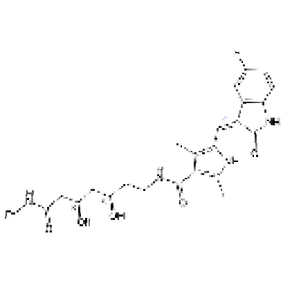 CCNC(=O)C[C@H](O)C[C@H](O)CCNC(=O)c1c(C)[nH]c(/C=C2\C(=O)Nc3ccc(F)cc32)c1C